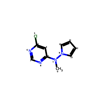 CN(c1cc(Cl)ncn1)n1cccc1